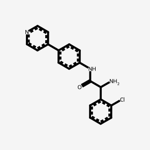 NC(C(=O)Nc1ccc(-c2ccncc2)cc1)c1ccccc1Cl